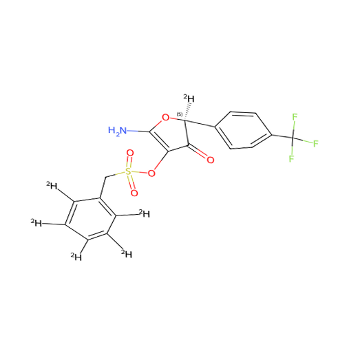 [2H]c1c([2H])c([2H])c(CS(=O)(=O)OC2=C(N)O[C@@]([2H])(c3ccc(C(F)(F)F)cc3)C2=O)c([2H])c1[2H]